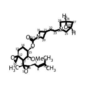 CO[C@H]1C([C@@]2(C)O[C@@H]2CC=C(C)C)[C@]2(CC[C@H]1OC(=O)N1CC(CCN3C[C@H]4C[C@@H](C3)O4)C1)CO2